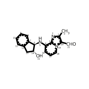 Cc1nc2c(N[C@@H]3c4ccccc4C[C@H]3O)cccn2c1C=O